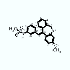 COc1ccc2c(c1)SCc1ccccc1C2=Cc1cccc(NS(C)(=O)=O)c1